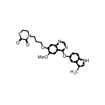 COc1cc2c(Oc3ccc4[nH]cc(C)c4c3)ncnc2cc1OCCCN1CCSC(=O)C1=O